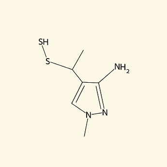 CC(SS)c1cn(C)nc1N